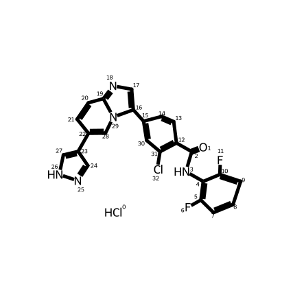 Cl.O=C(Nc1c(F)cccc1F)c1ccc(-c2cnc3ccc(-c4cn[nH]c4)cn23)cc1Cl